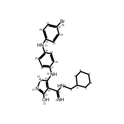 N=C(NCC1CCCCC1)c1c(O)nsc1Nc1ccc(Nc2ccc(Br)cc2)cc1